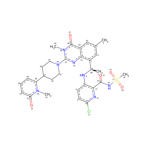 Cc1cc([C@@H](C)Nc2ccc(Cl)nc2C(=O)NS(C)(=O)=O)c2nc(N3CCC(c4cccc(=O)n4C)CC3)n(C)c(=O)c2c1